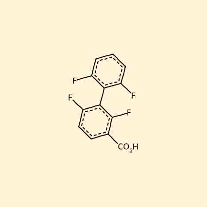 O=C(O)c1ccc(F)c(-c2c(F)cccc2F)c1F